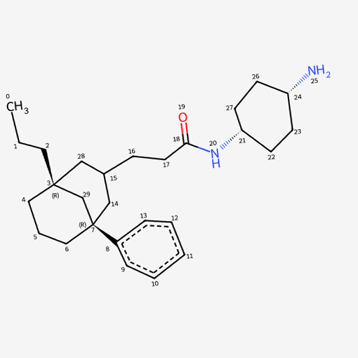 CCC[C@@]12CCC[C@@](c3ccccc3)(CC(CCC(=O)N[C@H]3CC[C@@H](N)CC3)C1)C2